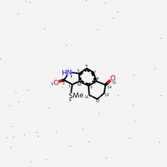 CSC1C(=O)Nc2ccc3c(c21)CCCC3=O